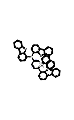 C=C(/C=C\C(=C/C)N(c1cccc2c1oc1ccccc12)c1cccc2c1oc1c(-c3ccccc3)cccc12)c1cccc2c3ccccc3n(-c3ccccc3)c12